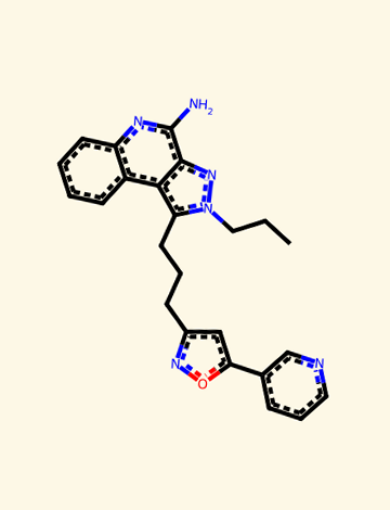 CCCn1nc2c(N)nc3ccccc3c2c1CCCc1cc(-c2cccnc2)on1